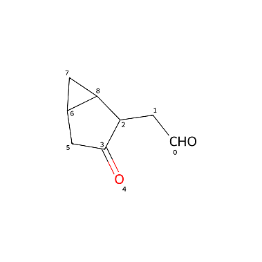 O=CCC1C(=O)CC2CC21